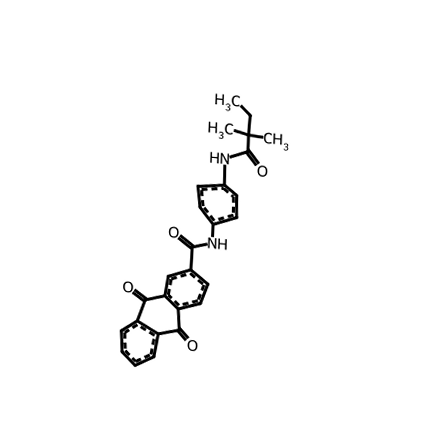 CCC(C)(C)C(=O)Nc1ccc(NC(=O)c2ccc3c(c2)C(=O)c2ccccc2C3=O)cc1